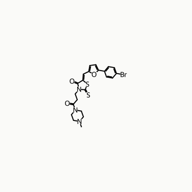 CN1CCN(C(=O)CCN2C(=O)C(=Cc3ccc(-c4ccc(Br)cc4)o3)SC2=S)CC1